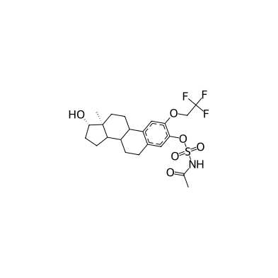 CC(=O)NS(=O)(=O)Oc1cc2c(cc1OCC(F)(F)F)C1CC[C@@]3(C)C(CC[C@@H]3O)C1CC2